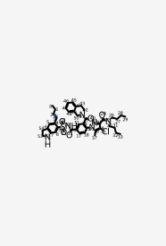 CC/C=C/c1cc2c(cc1S(=O)(=O)NC(=O)c1ccc(-n3nc(C(=O)N(CCCC)CCCC)c(Cl)c3C)c(C(=O)N3CCc4ccccc4C3)c1)NCC2